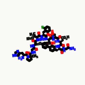 CCc1cc(OC)ccc1-c1ccc(C[C@H](NC(=O)[C@H](CC(=O)O)NC(=O)[C@H](CO)NC(=O)[C@@H](NC(=O)[C@H](Cc2ccccc2F)NC(=O)[C@@H](NC(=O)CNC(=O)CNC(=O)C2(C)CCCN2C(=O)[C@@H](N)Cc2c[nH]cn2)[C@@H](C)OC)[C@@H](C)O)C(=O)NCC(N)=O)cc1